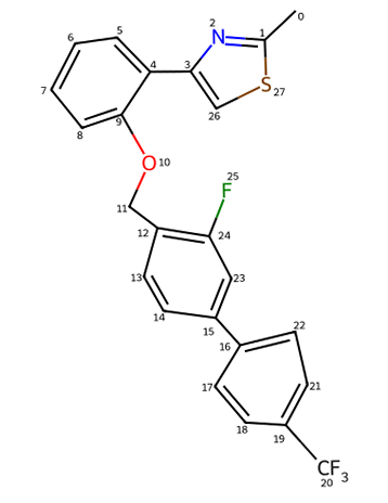 Cc1nc(-c2ccccc2OCc2ccc(-c3ccc(C(F)(F)F)cc3)cc2F)cs1